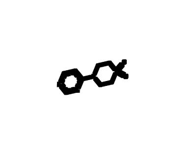 O=S1(=O)CCN(c2ccncn2)CC1